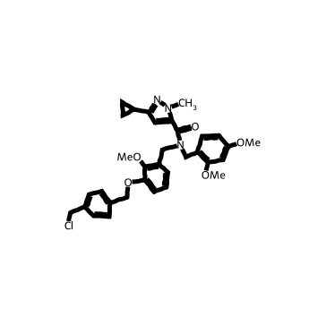 COc1ccc(CN(Cc2cccc(OCc3ccc(CCl)cc3)c2OC)C(=O)c2cc(C3CC3)nn2C)c(OC)c1